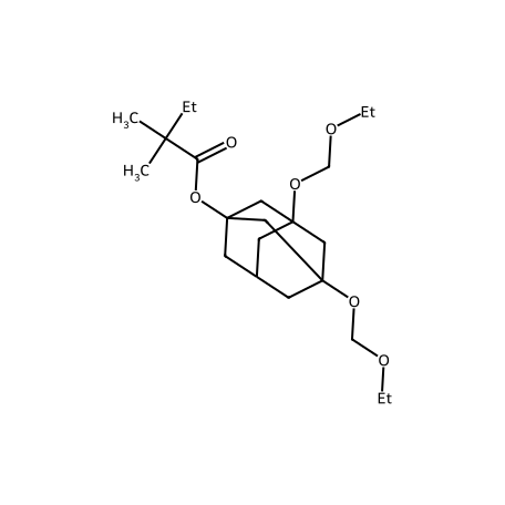 CCOCOC12CC3CC(OCOCC)(C1)CC(OC(=O)C(C)(C)CC)(C3)C2